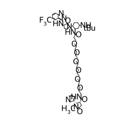 CN1C(=O)C[C@H](C(=O)NCCOCCOCCOCCOCCOCCOCCC(=O)N[C@@H]2C[C@H](NC(C)(C)C)CC[C@@H]2N2CC[C@H](Nc3ncnc4ccc(C(F)(F)F)cc34)C2=O)[C@H]1c1cccnc1